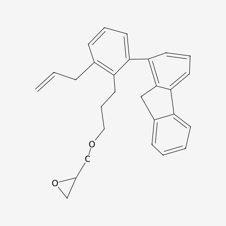 C=CCc1cccc(-c2cccc3c2Cc2ccccc2-3)c1CCCOCC1CO1